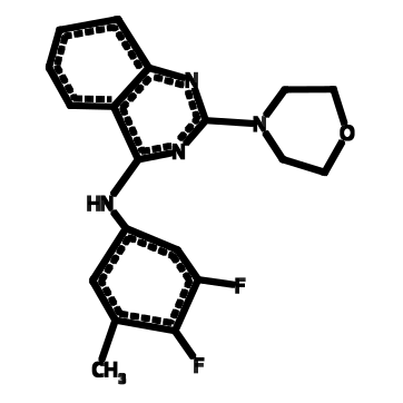 Cc1cc(Nc2nc(N3CCOCC3)nc3ccccc23)cc(F)c1F